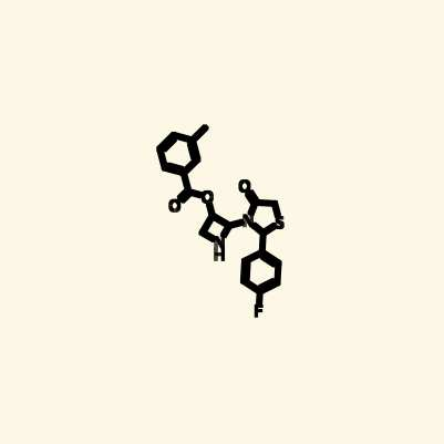 Cc1cccc(C(=O)OC2CNC2N2C(=O)CSC2c2ccc(F)cc2)c1